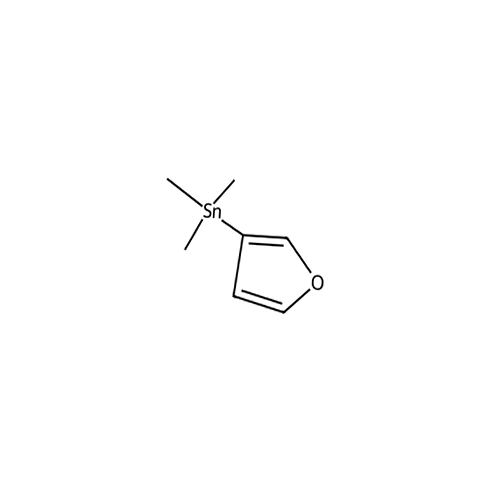 [CH3][Sn]([CH3])([CH3])[c]1ccoc1